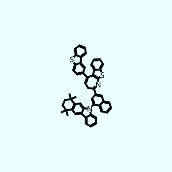 CC1(C)CCC(C)(C)c2cc3c(cc21)c1ccccc1n3-c1cc(C2=Nc3sc4ccccc4c3C(c3ccc4sc5ccccc5c4c3)=CC2)cc2ccccc12